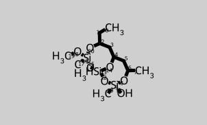 CCC1CC2CC(C)O[Si](C)(O)O[SiH](O2)O[Si](C)(OC)O1